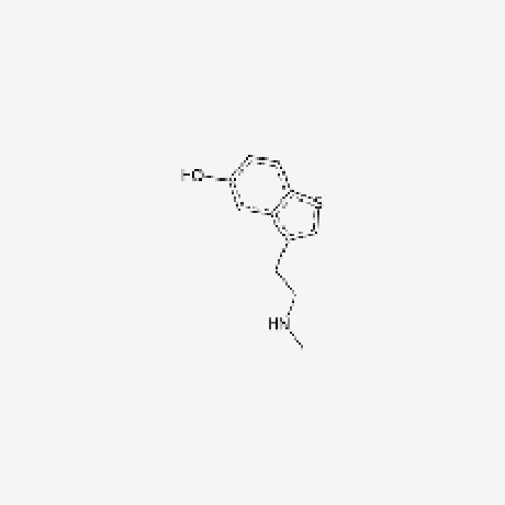 CNCCc1csc2ccc(O)cc12